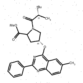 COC(=O)C1C[C@@H](Oc2nc(-c3ccccc3)nc3ccc(C)cc23)CN1C(=O)[C@@H](C)C(C)(C)C